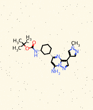 Cn1cc(-c2cnn3c(N)cc([C@H]4CCC[C@@H](NC(=O)OC(C)(C)C)C4)nc23)cn1